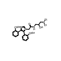 CCN(CC)CC(O)CNC(=O)Cn1cnc(-c2ccccc2OC)c1-c1ccccc1OC